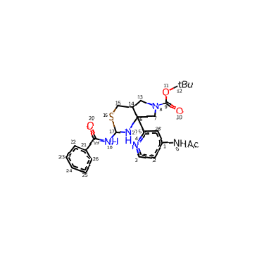 CC(=O)Nc1ccnc(C23CN(C(=O)OC(C)(C)C)CC2CSC(NC(=O)c2ccccc2)N3)c1